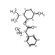 CC(C)[C@@H]1CC[C@@H](C)C[C@H]1OC(=O)[C@@H](NCl)c1ccccc1